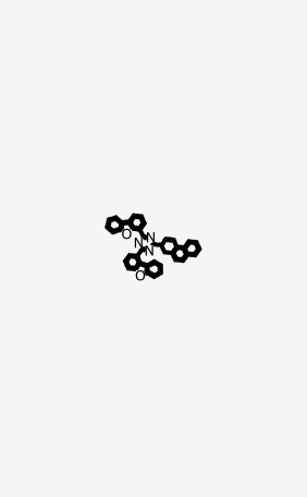 C1=CC(c2nc(-c3cccc4c3oc3ccccc34)nc(-c3cccc4oc5ccccc5c34)n2)Cc2ccc3ccccc3c21